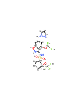 O=S(=O)(Nc1noc2cc(Cn3cccn3)cc(OC(F)F)c12)c1ccccc1OC(F)(F)F